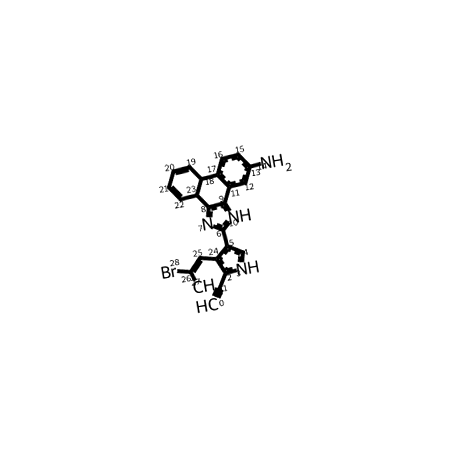 C#Cc1[nH]cc(-c2nc3c([nH]2)-c2cc(N)ccc2C2C=CC=CC32)c1/C=C(\C)Br